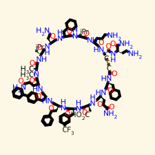 CC(C)C[C@H]1NC(=O)[C@H](C)N(C)C(=O)C(CCC(N)=O)NC(=O)C(Cc2ccc(-c3ccccc3)cc2)NC(=O)[C@H](CCc2ccccc2)NC(=O)[C@H](Cc2cccc(C(F)(F)F)c2)NC(=O)[C@H](CC(=O)O)NC(=O)[C@H](CCC(N)=O)NC(=O)[C@H](CC2CCCCC2)NC(=O)CSC[C@@H](C(=O)N[C@@H](CCN)C(N)=O)NC(=O)C(CCCN)NC(=O)C(C(C)C)NC(=O)C(CC2CCCCC2)NC(=O)[C@H](CCN)NC1=O